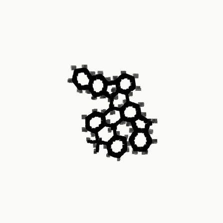 C[Si]1(C)c2ccccc2N2c3c(cccc31)B1c3c(cc4sc5ccccc5c4c32)-c2cccc3c4cc5ccccc5cc4n1c23